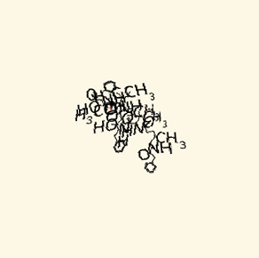 CC[C@H](C)[C@H](NC(=O)C[C@H](O)[C@H](Cc1ccccc1)NC(=O)[C@@H](NC(=O)CC[C@H](C)CNC(=O)Cc1ccccc1)C(C)C)C(=O)N[C@](Cc1ccccc1)(C(=O)O)C(C)C